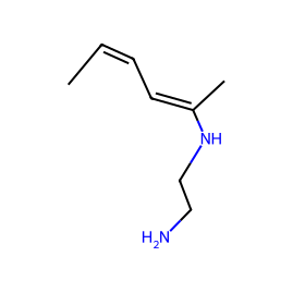 C/C=C\C=C(/C)NCCN